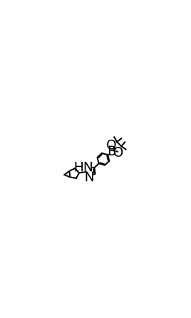 CC1(C)OB(c2ccc(-c3cnc(C4CC5CC5C4)[nH]3)cc2)OC1(C)C